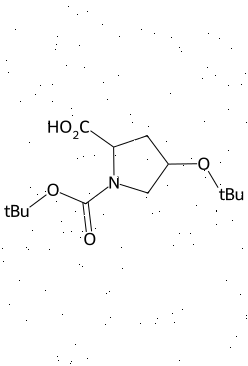 CC(C)(C)OC(=O)N1CC(OC(C)(C)C)CC1C(=O)O